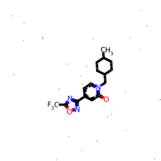 CC1CCC(Cn2ccc(-c3noc(C(F)(F)F)n3)cc2=O)CC1